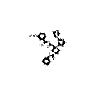 COc1cccc(C(C)NC(=O)CC2CN(C(=O)Nc3ccccc3)CCN2c2ccnc(-n3ccnc3)n2)c1